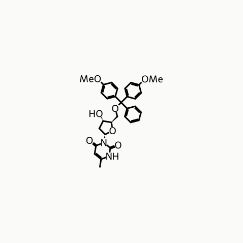 COc1ccc(C(OC[C@H]2O[C@H](n3c(=O)cc(C)[nH]c3=O)C[C@@H]2O)(c2ccccc2)c2ccc(OC)cc2)cc1